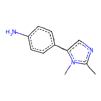 Cc1ncc(-c2ccc(N)cc2)n1C